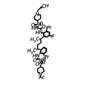 C#CCN1CCC(S(=O)(=O)NC(=O)Nc2c(C(C)C)cc(F)cc2C(C)CCC(C)c2cccc(C(C)C)c2NC(=O)NS(=O)(=O)C2CCN(C(C)=O)CC2)CC1